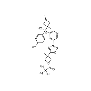 [2H]C([2H])([2H])C(=O)N1CC(C)(c2nc(-c3cncc([C@@](O)(c4ccc(C(C)C)cc4)C4(C)CN(C)C4)c3)no2)C1